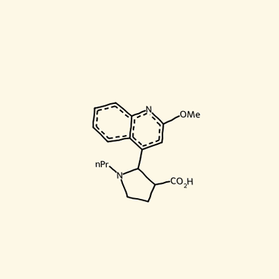 CCCN1CCC(C(=O)O)C1c1cc(OC)nc2ccccc12